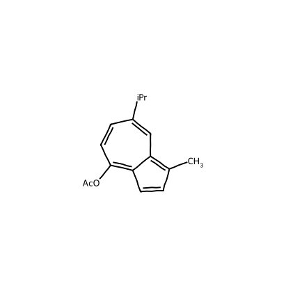 CC(=O)Oc1ccc(C(C)C)cc2c(C)ccc1-2